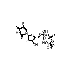 C[C@H]1C(O)[C@@H](COP(=O)(O)OP(=O)(O)OP(=O)(O)O)O[C@H]1n1cc(F)c(=S)[nH]c1=S